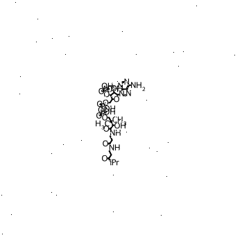 CC(C)C(=O)CCNC(=O)CCNC(=O)C(O)C(C)(C)COP(=O)(O)OP(=O)(O)OCC1OC(n2cnc3c(N)ncnc32)C(O)C1OP(=O)(O)O